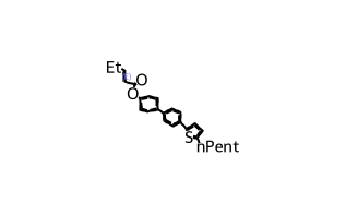 CC/C=C/C(=O)Oc1ccc(-c2ccc(-c3ccc(CCCCC)s3)cc2)cc1